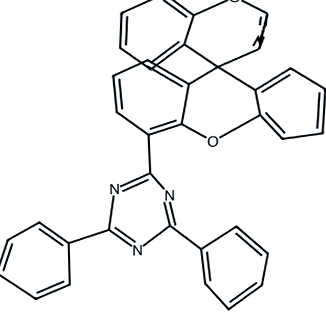 c1ccc(-c2nc(-c3ccccc3)nc(-c3cccc4c3Oc3ccccc3C43c4ccccc4Oc4ccccc43)n2)cc1